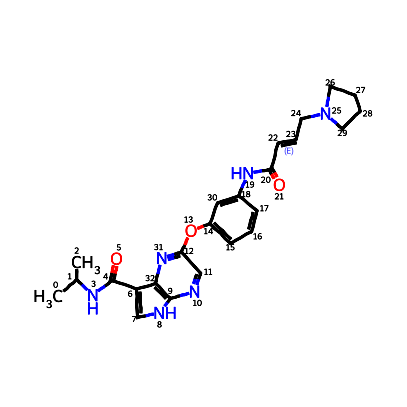 CC(C)NC(=O)c1c[nH]c2ncc(Oc3cccc(NC(=O)/C=C/CN4CCCC4)c3)nc12